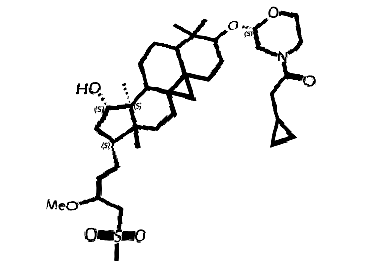 COC(CC[C@H]1C[C@H](O)[C@@]2(C)C3CCC4C(C)(C)C(O[C@H]5CN(C(=O)CC6CC6)CCO5)CCC45CC35CCC12C)CS(C)(=O)=O